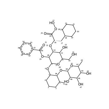 CC1CCCC(OC2OC(CO)C(O)C(O[C@@H](CC3CCCCC3)C(=O)OO)C2OC(=O)c2ccccc2)C1OC1OC(C)C(O)C(O)C1O